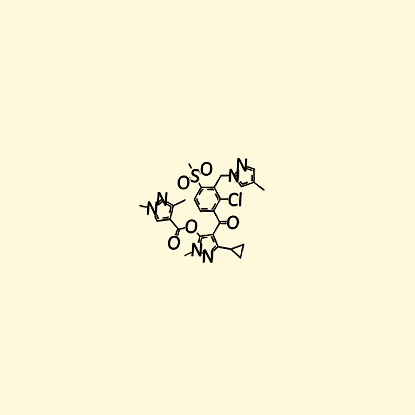 Cc1cnn(Cc2c(S(C)(=O)=O)ccc(C(=O)c3c(C4CC4)nn(C)c3OC(=O)c3cn(C)nc3C)c2Cl)c1